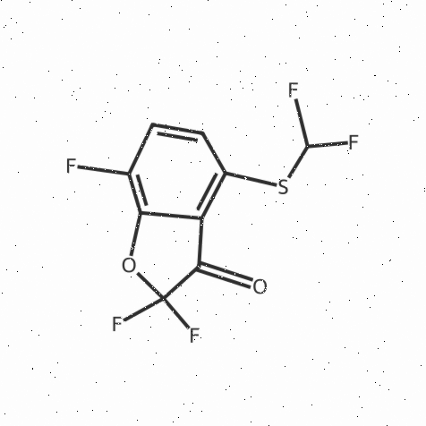 O=C1c2c(SC(F)F)ccc(F)c2OC1(F)F